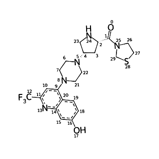 O=C([C@@H]1C[C@H](N2CCN(c3cc(C(F)(F)F)nc4cc(O)ccc34)CC2)CN1)N1CCSC1